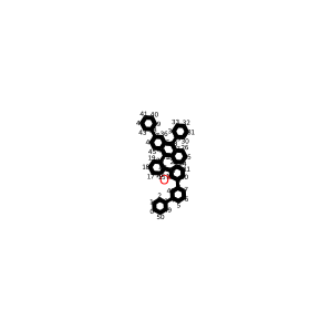 c1ccc(-c2cccc(-c3cccc4c3oc3cccc(-c5c6ccccc6c(-c6ccccc6)c6cc(-c7ccccc7)ccc56)c34)c2)cc1